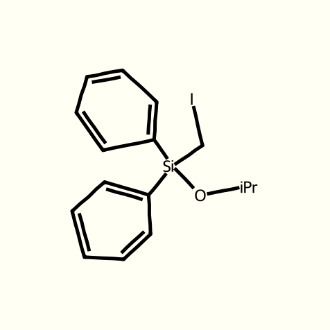 CC(C)O[Si](CI)(c1ccccc1)c1ccccc1